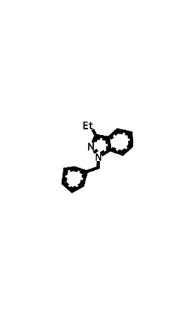 CCc1nn(Cc2ccccc2)c2ccccc12